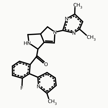 Cc1cccc(-c2c(F)cccc2C(=O)C2NCC3CN(c4nc(C)cc(C)n4)C=C32)n1